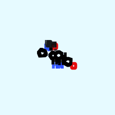 CCC(C)N(C(=O)[C@H]1CC[C@H]2[C@@H]3CNC4=CC(=O)CC[C@]4(C)[C@H]3CC[C@]12C)c1ccccc1